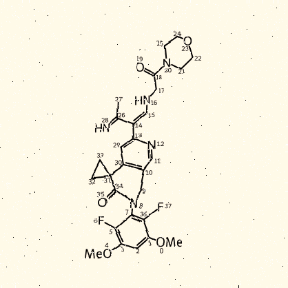 COc1cc(OC)c(F)c(N2Cc3cnc(/C(=C/NCC(=O)N4CCOCC4)C(C)=N)cc3C3(CC3)C2=O)c1F